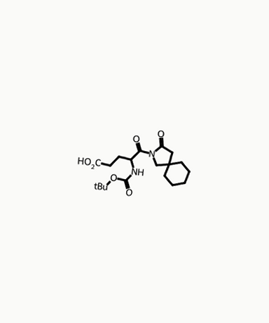 CC(C)(C)OC(=O)NC(CCC(=O)O)C(=O)N1CC2(CCCCC2)CC1=O